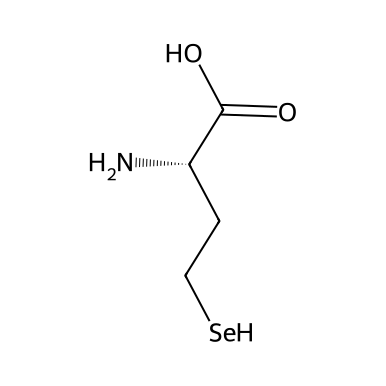 N[C@@H](CC[SeH])C(=O)O